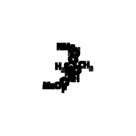 CNc1ncc2cc(-c3c(C)ccc4c(Nc5ccc(OC)c(F)c5)nn(C)c34)ccc2n1